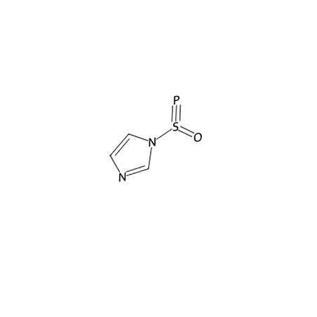 O=S(#P)n1ccnc1